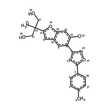 Cc1ccc(-c2nc(-c3cc4cc(C(N)(CO)CO)oc4cc3Cl)no2)cc1